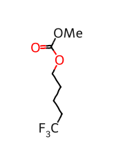 COC(=O)OCCCCC(F)(F)F